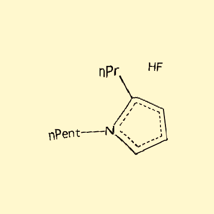 CCCCCn1cccc1CCC.F